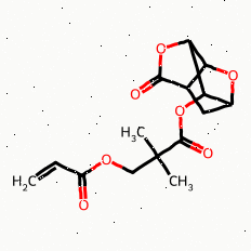 C=CC(=O)OCC(C)(C)C(=O)OC1C2CC3C(=O)OC1C3O2